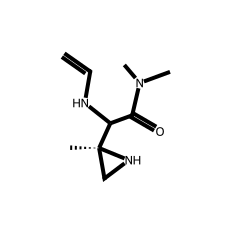 C=CNC(C(=O)N(C)C)[C@]1(C)CN1